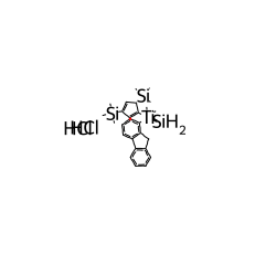 C[Si](C)(C)C1=CC([Si](C)(C)C)[C]([Ti]([CH3])([CH3])(=[SiH2])[c]2cccc3c2Cc2ccccc2-3)=C1.Cl.Cl